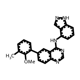 COc1c(C)cccc1-c1ccc2ncnc(Nc3cccc4[nH]ncc34)c2c1